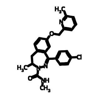 CNC(=O)N1N=C(c2ccc(Cl)cc2)c2cc(OCc3cccc(C)n3)ccc2CC1C